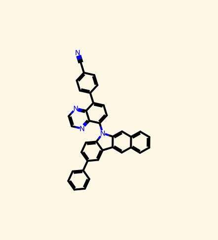 N#Cc1ccc(-c2ccc(-n3c4ccc(-c5ccccc5)cc4c4cc5ccccc5cc43)c3nccnc23)cc1